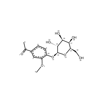 COc1cc(C(C)=O)ccc1O[C@@H]1O[C@H](CO)[C@H](O)[C@H](O)[C@H]1O